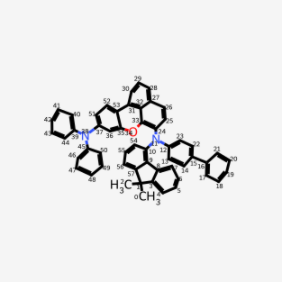 CC1(C)c2ccccc2-c2c(N(c3ccc(-c4ccccc4)cc3)c3ccc4cccc5c4c3Oc3cc(N(c4ccccc4)c4ccccc4)ccc3-5)cccc21